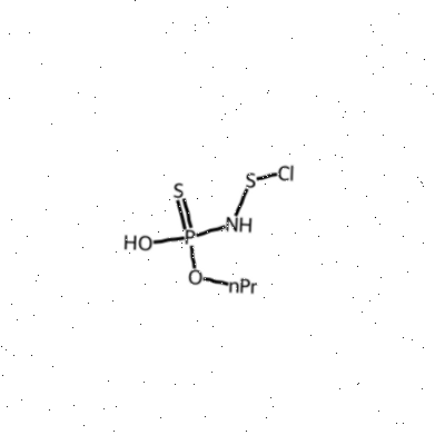 CCCOP(O)(=S)NSCl